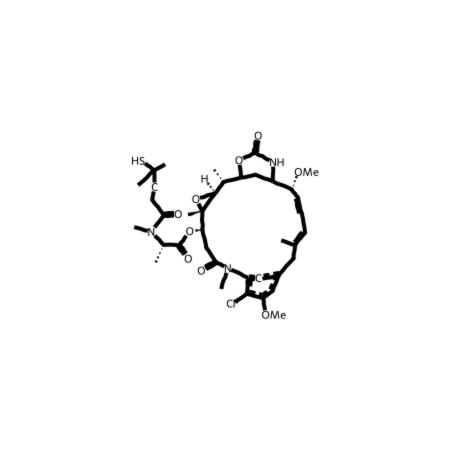 COc1cc2cc(c1Cl)N(C)C(=O)C[C@H](OC(=O)[C@H](C)N(C)C(=O)CCC(C)(C)S)[C@]1(C)O[C@H]1[C@H](C)C1CC(NC(=O)O1)[C@H](OC)/C=C/C=C(\C)C2